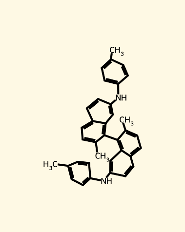 Cc1ccc(Nc2ccc3ccc(C)c(-c4c(C)ccc5ccc(Nc6ccc(C)cc6)cc45)c3c2)cc1